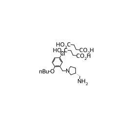 CCCCOc1ccc(Cl)cc1CN1CC[C@H](CN)C1.O=C(O)CCC(=O)O.O=C(O)CCC(=O)O